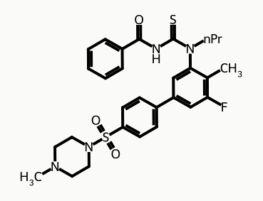 CCCN(C(=S)NC(=O)c1ccccc1)c1cc(-c2ccc(S(=O)(=O)N3CCN(C)CC3)cc2)cc(F)c1C